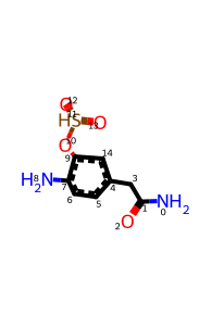 NC(=O)Cc1ccc(N)c(O[SH](=O)=O)c1